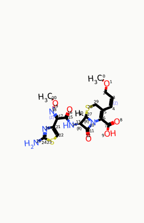 COC/C=C\C1=C(C(=O)O)N2C(=O)[C@@H](NC(=O)/C(=N\OC)c3csc(N)n3)[C@H]2SC1